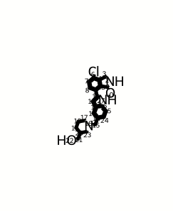 O=C1NCc2c(Cl)ccc(-c3cc4cc(CN5CCCC(CO)C5)ccc4[nH]3)c21